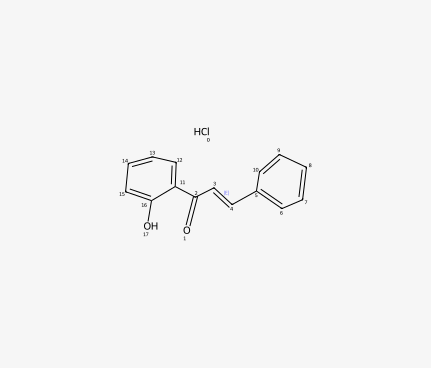 Cl.O=C(/C=C/c1ccccc1)c1ccccc1O